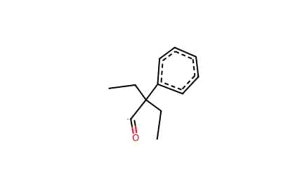 CCC([C]=O)(CC)c1ccccc1